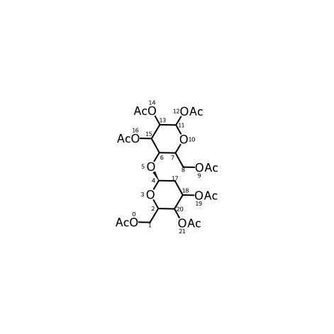 CC(=O)OCC1O[C@@H](OC2C(COC(C)=O)OC(OC(C)=O)C(OC(C)=O)C2OC(C)=O)CC(OC(C)=O)C1OC(C)=O